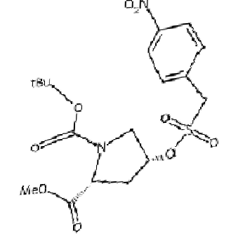 COC(=O)[C@H]1C[C@@H](OS(=O)(=O)Cc2ccc([N+](=O)[O-])cc2)CN1C(=O)OC(C)(C)C